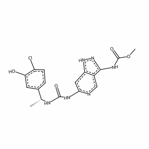 COC(=O)Nc1n[nH]c2cc(NC(=O)N[C@H](C)c3ccc(Cl)c(O)c3)ncc12